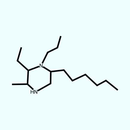 CCCCCCC1CNC(C)C(CC)N1CCC